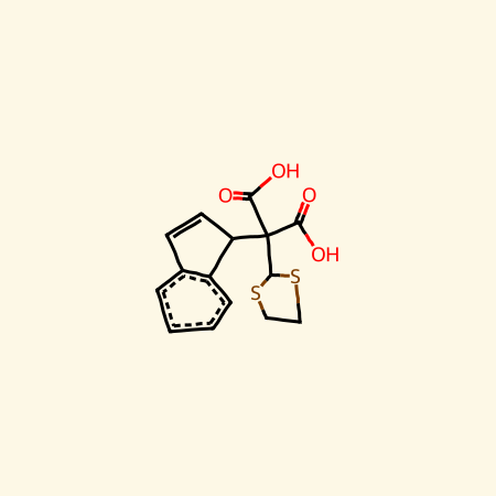 O=C(O)C(C(=O)O)(C1SCCS1)C1C=Cc2ccccc21